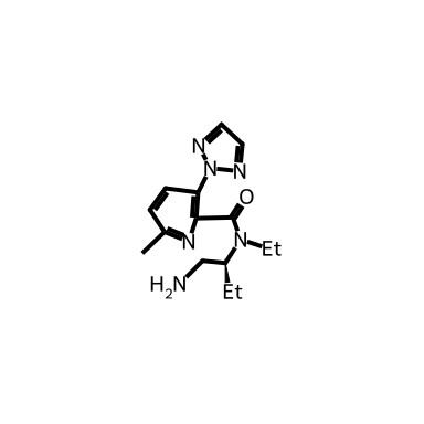 CC[C@@H](CN)N(CC)C(=O)c1nc(C)ccc1-n1nccn1